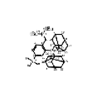 CC(C)(C)P(Cc1ccc([Si](C)(C)C)cc1P(C12CC3CC(CC(C3)C1)C2)C12CC3CC(CC(C3)C1)C2)C(C)(C)C